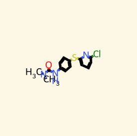 CN(C)C(=O)Nc1ccc(Sc2cccc(Cl)n2)cc1